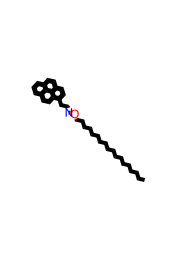 CCCCCCCCCCCCCCCCCCON=CCc1ccc2ccc3cccc4ccc1c2c34